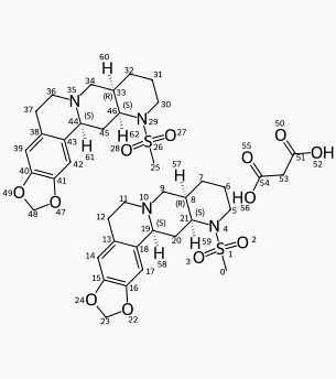 CS(=O)(=O)N1CCC[C@@H]2CN3CCc4cc5c(cc4[C@@H]3C[C@@H]21)OCO5.CS(=O)(=O)N1CCC[C@@H]2CN3CCc4cc5c(cc4[C@@H]3C[C@@H]21)OCO5.O=C(O)CC(=O)O